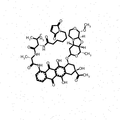 CO[C@H]1OCCN2[C@@H]1O[C@@H]1[C@H](C)OC(O[C@H]3C[C@](O)(C(C)=O)Cc4c(O)c5c(c(O)c43)C(=O)c3c(NC(=O)[C@H](C)NC(=O)[C@@H](NC(=O)CCCCCN4C(=O)C=CC4=O)C(C)C)cccc3C5=O)C[C@@H]12